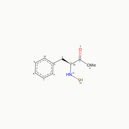 COC(=O)[C@H](Cc1ccccc1)NS